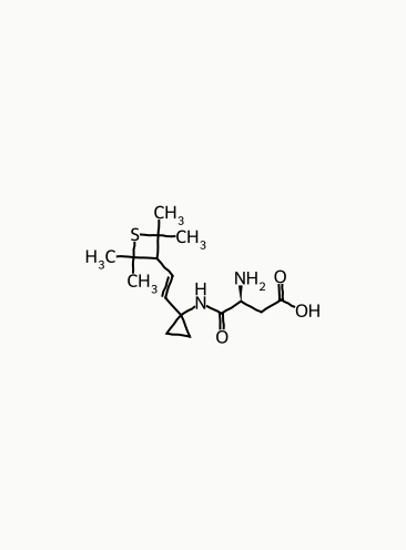 CC1(C)SC(C)(C)C1/C=C/C1(NC(=O)[C@@H](N)CC(=O)O)CC1